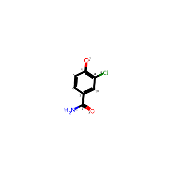 NC(=O)c1ccc([O])c(Cl)c1